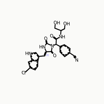 N#Cc1ccc(C(C(=O)NC(CO)CO)N2C(=O)N/C(=C\c3c[nH]c4cc(Cl)ccc34)C2=O)cc1